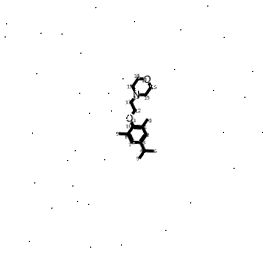 Cc1cc(C(C)C)cc(C)c1OCCN1CCOCC1